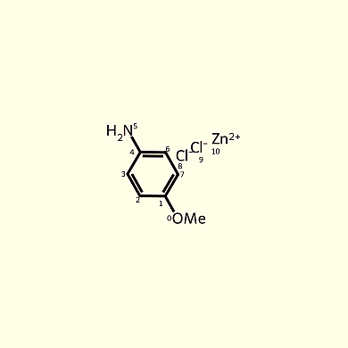 COc1ccc(N)cc1.[Cl-].[Cl-].[Zn+2]